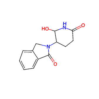 O=C1CCC(N2Cc3ccccc3C2=O)C(O)N1